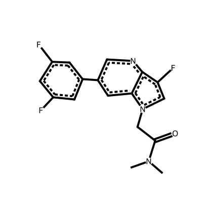 CN(C)C(=O)Cn1cc(F)c2ncc(-c3cc(F)cc(F)c3)cc21